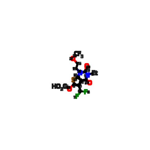 CCn1c(=O)c2c(C(F)F)c(OC(=O)O)sc2n(CCOC(F)(F)F)c1=O